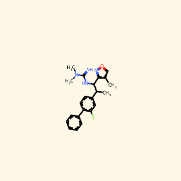 Cc1conc1C(NC(=N)N(C)C)C(C)c1ccc(-c2ccccc2)c(F)c1